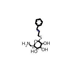 NC[C@H]1O[C@@H](SC/C=C/c2ccccc2)[C@@H](O)[C@@H](O)[C@@H]1O